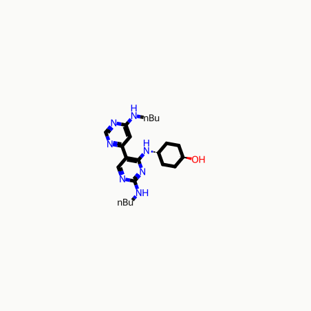 CCCCNc1cc(-c2cnc(NCCCC)nc2N[C@H]2CC[C@H](O)CC2)ncn1